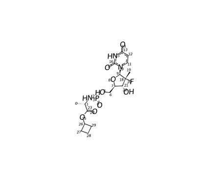 C[C@H](N[PH](=O)OC[C@H]1O[C@@H](n2ccc(=O)[nH]c2=O)[C@](C)(F)[C@@H]1O)C(=O)OC1CCC1